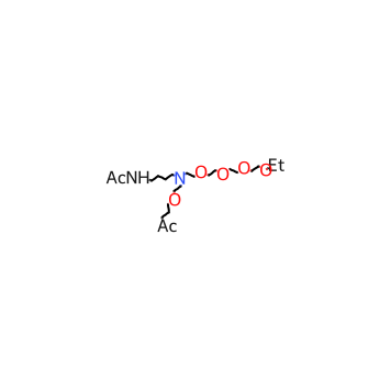 CCOCCOCCOCCOCCN(CCCCNC(C)=O)CCOCCCC(C)=O